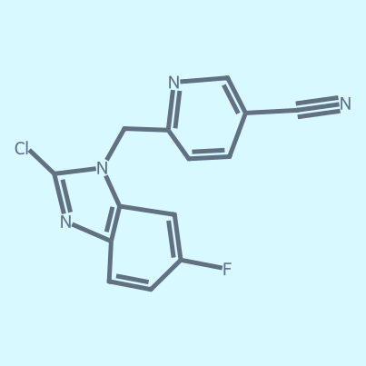 N#Cc1ccc(Cn2c(Cl)nc3ccc(F)cc32)nc1